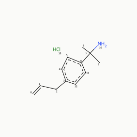 C=CCc1ccc(C(C)(C)N)cc1.Cl